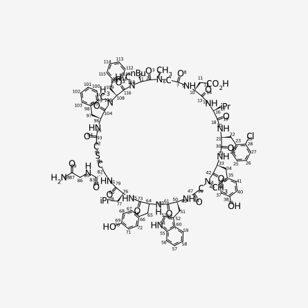 CCCC[C@H]1C(=O)N(C)CC(=O)N[C@@H](CC(=O)O)C(=O)N[C@@H](C(C)C)C(=O)N[C@@H](Cc2ccccc2Cl)C(=O)N[C@@H](Cc2ccc(O)cc2)C(=O)N(C)CC(=O)N[C@@H](Cc2c[nH]c3ccccc23)C(=O)NC(Cc2ccc(O)cc2)C(=O)N[C@@H](CC(C)C)C(=O)N[C@H](C(=O)NCC(N)=O)CSCC(=O)N[C@@H](Cc2ccccc2)C(=O)N(C)[C@@H](Cc2ccccc2)C(=O)N1C